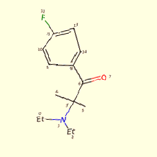 CCN(CC)C(C)(C)C(=O)c1ccc(F)cc1